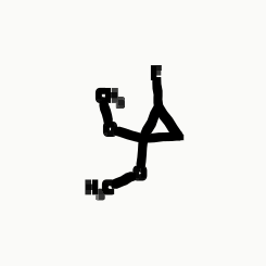 COC1(OC)C[C]1F